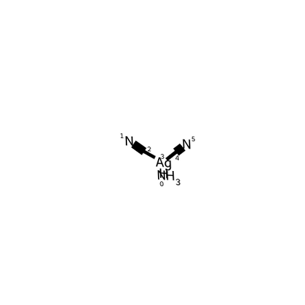 N.N#[C][AgH][C]#N